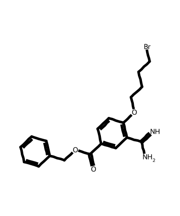 N=C(N)c1cc(C(=O)OCc2ccccc2)ccc1OCCCCBr